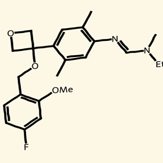 CCN(C)C=Nc1cc(C)c(C2(OCc3ccc(F)cc3OC)COC2)cc1C